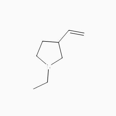 C=CC1CCN(CC)C1